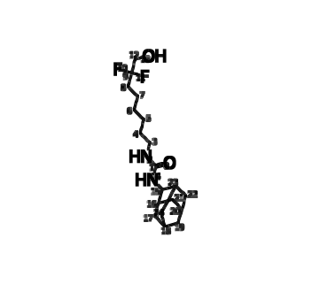 O=C(NCCCCCCC(F)(F)CO)NC1C2CC3CC(C2)CC1C3